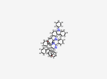 c1ccc(-c2nc(-c3ccccc3-n3c4ccccc4c4ccc5c(c6ccccc6n5-c5ccccc5)c43)nc3c2[Si](c2ccccc2)(c2ccccc2)c2ccccc2-3)cc1